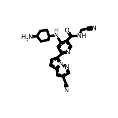 N#CCNC(=O)c1cnc(-c2ccc3cc(C#N)cnn23)cc1NC1CCC(N)CC1